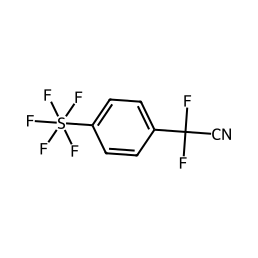 N#CC(F)(F)c1ccc(S(F)(F)(F)(F)F)cc1